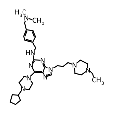 CCN1CCN(CCCn2cnc3c(N4CCN(C5CCCC5)CC4)nc(NCc4ccc(CN(C)C)cc4)nc32)CC1